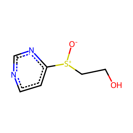 [O-][S+](CCO)c1ccncn1